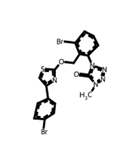 Cn1nnn(-c2cccc(Br)c2COc2nc(-c3ccc(Br)cc3)cs2)c1=O